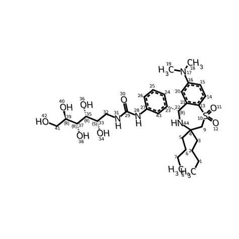 CCCCC1(CCCC)CS(=O)(=O)c2ccc(N(C)C)cc2[C@@H](c2cccc(NC(=O)NC[C@H](O)[C@@H](O)[C@H](O)[C@H](O)CO)c2)N1